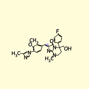 COc1cc(/C=C2\N=C3N(C)CCC(CO)(c4ccc(F)cc4)N3C2=O)ccc1-n1cnc(C)c1